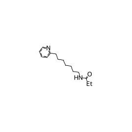 CCC(=O)NCCCCCCCc1ccccn1